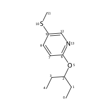 CCC(CC)Oc1ccc(SC)cn1